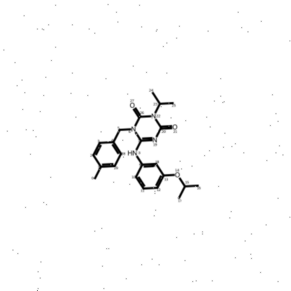 Cc1ccc(Cn2c(Nc3cccc(OC(C)C)c3)nc(=O)n(C(C)C)c2=O)cc1